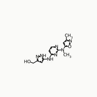 Cc1cc(N(C)c2nccc(Nc3cc(CO)n[nH]3)n2)on1